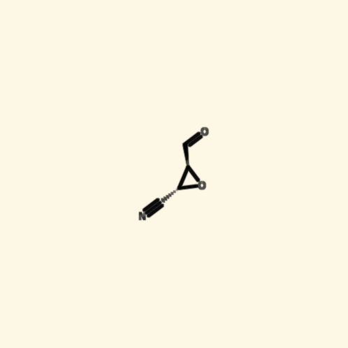 N#C[C@H]1O[C@@H]1C=O